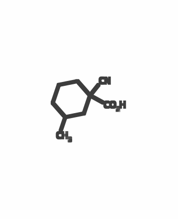 CC1CCCC(C#N)(C(=O)O)C1